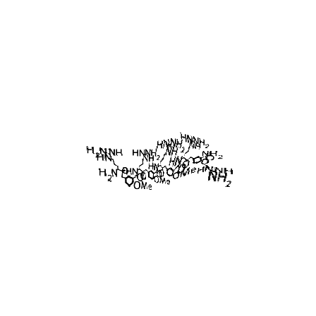 COc1ccc(CC(=O)[C@H](N)CCCNC(=N)N)cc1C(=O)N[C@H](CCCNC(=N)N)C(=O)Cc1ccc(OC)c(C(=O)N[C@H](CCCNC(=N)N)C(=O)Cc2ccc(OC)c(C(=O)N[C@H](CCCNC(=N)N)C(=O)Cc3ccc(OCCNC(=N)N)c(C(N)=O)c3)c2)c1